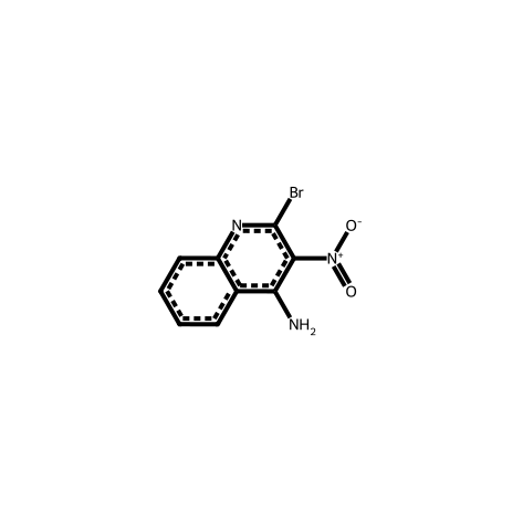 Nc1c([N+](=O)[O-])c(Br)nc2ccccc12